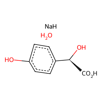 O.O=C(O)[C@H](O)c1ccc(O)cc1.[NaH]